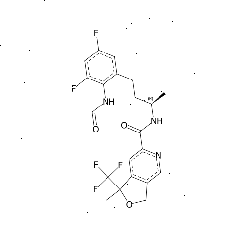 C[C@H](CCc1cc(F)cc(F)c1NC=O)NC(=O)c1cc2c(cn1)COC2(C)C(F)(F)F